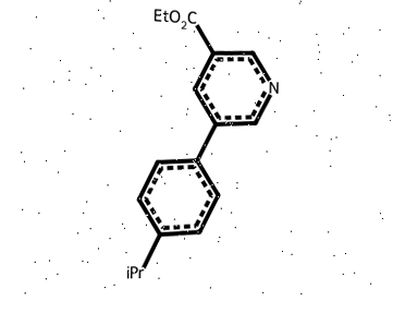 CCOC(=O)c1cncc(-c2ccc(C(C)C)cc2)c1